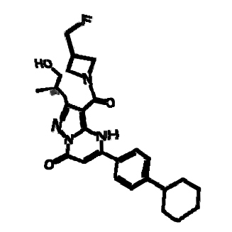 C[C@@H](CO)c1nn2c(=O)cc(-c3ccc(C4CCCCC4)cc3)[nH]c2c1C(=O)N1CC(CF)C1